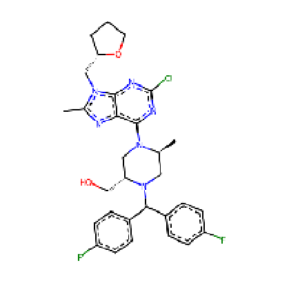 Cc1nc2c(N3C[C@@H](CO)N(C(c4ccc(F)cc4)c4ccc(F)cc4)C[C@@H]3C)nc(Cl)nc2n1C[C@@H]1CCCO1